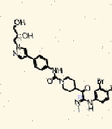 O=C(/C(=N/I)Nc1ccc(F)c(Br)c1)C1CCN(C(=O)Nc2ccc(-c3cnn(C[C@@H](O)CO)c3)cc2)CC1